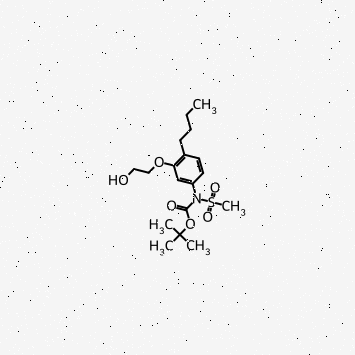 CCCCc1ccc(N(C(=O)OC(C)(C)C)S(C)(=O)=O)cc1OCCO